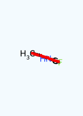 CCCCCCCCCCCCCCCCCCNCCCCCCCCCCCCF